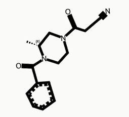 C[C@@H]1CN(C(=O)CC#N)CCN1C(=O)c1ccccc1